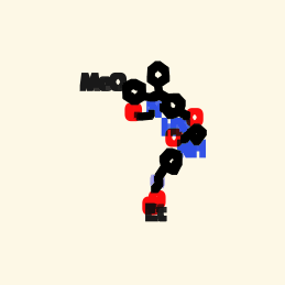 CCOOC/C=C/c1ccc(NC(=O)C2(NC(=O)c3ccc4c(C5CCCCC5)c5n(c4c3)CCOc3cc(OC)ccc3-5)CCC2)cc1